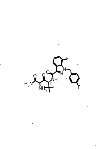 CC(C)(C)[C@H](NC(=O)c1nn(Cc2ccc(F)cc2)c2c(F)cccc12)C(=O)C(N)C(N)=O